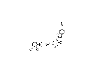 N#Cc1ccc2cc(N(CCCCN3CCN(c4cccc(Cl)c4Cl)CC3)C(N)=O)sc2c1